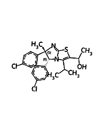 CC(C)C1=C(C(C)O)SC2=N[C@@](C)(c3ccc(Cl)cc3)[C@@H](c3ccc(Cl)cc3)N21